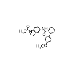 COc1ccc(-c2ccccc2C(=O)Nc2ccc3c(c2)CCN3C(C)=O)cc1